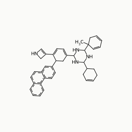 CC1(C2NC(C3=CC=C(C4=CNC4)C(c4ccc5c(ccc6ccccc65)c4)C3)NC(C3CC=CCC3)N2)C=CC=CC1